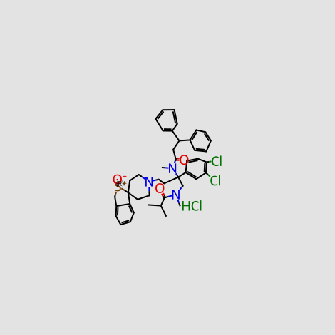 CC(C)C(=O)N(C)CC(CCN1CCC2(CC1)c1ccccc1C[S@+]2[O-])(c1ccc(Cl)c(Cl)c1)N(C)C(=O)CC(c1ccccc1)c1ccccc1.Cl